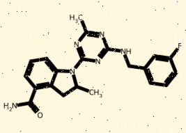 Cc1nc(NCc2cccc(F)c2)nc(N2c3cccc(C(N)=O)c3CC2C)n1